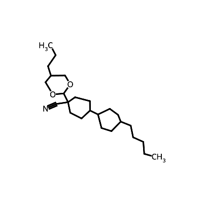 CCCCCC1CCC(C2CCC(C#N)(C3OCC(CCC)CO3)CC2)CC1